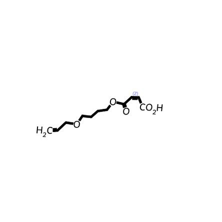 C=CCOCCCCOC(=O)/C=C\C(=O)O